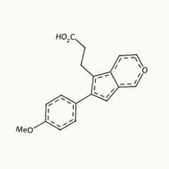 COc1ccc(-c2cc3coccc-3c2CCC(=O)O)cc1